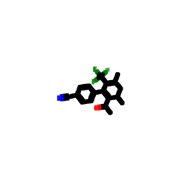 CC(=O)C1=C(c2ccc(C#N)cc2)C(C(F)(F)F)=C(C)[CH]C1C